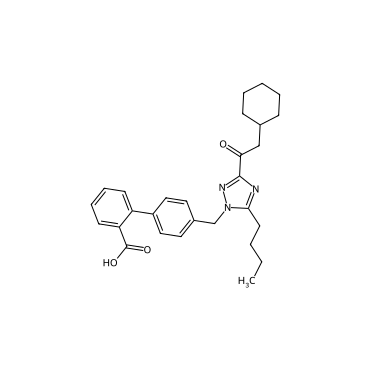 CCCCc1nc(C(=O)CC2CCCCC2)nn1Cc1ccc(-c2ccccc2C(=O)O)cc1